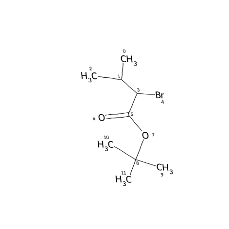 CC(C)C(Br)C(=O)OC(C)(C)C